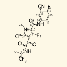 C[C@@H](NC(=O)C(=O)c1c(F)c(C(=O)Nc2ccc(F)c(C#N)c2)n(C)c1Cl)C(F)(F)F